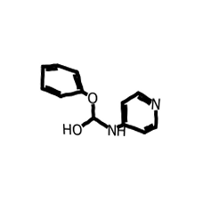 OC(Nc1ccncc1)Oc1ccccc1